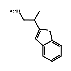 CC(=O)NCC(C)c1cc2ccccc2o1